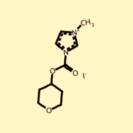 C[n+]1ccn(C(=O)OC2CCOCC2)c1.[I-]